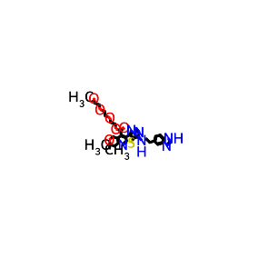 COCCOCCOCCOC(=O)c1c2c(nc3sc4c(NCCc5ccc6[nH]cnc6c5)ncnc4c13)CC(C)(C)OC2